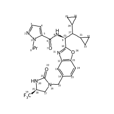 CC(C)n1nccc1C(=O)N[C@H](c1nc2cc(CN3C[C@@H](C(F)(F)F)NC3=O)ccc2o1)C(C1CC1)C1CC1